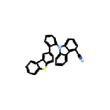 N#Cc1cccc2c1c1ccccc1n2-c1ccccc1-c1ccc2sc3ccccc3c2c1